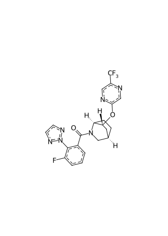 O=C(c1cccc(F)c1-n1nccn1)N1C[C@@H]2CC[C@H]1[C@H](Oc1cnc(C(F)(F)F)cn1)C2